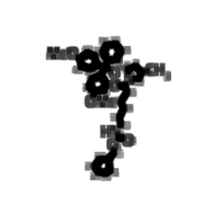 COc1ccc(C(OC[C@@H]2C[C@@H](C)CN2C(=O)CCCCCNC(=O)OCc2ccccc2)(c2ccccc2)c2ccc(OC)cc2)cc1